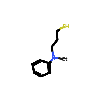 CCN(CCCS)c1ccccc1